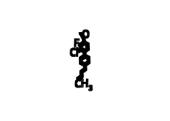 C/C=C/CCC1CC=C(c2ccc(C3CO3)c(F)c2Cl)CC1